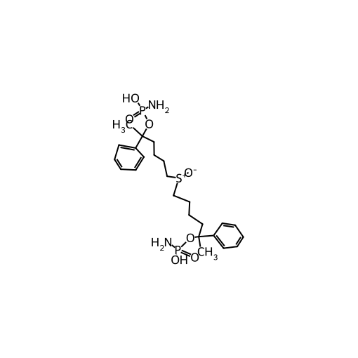 CC(CCCC[S+]([O-])CCCCC(C)(OP(N)(=O)O)c1ccccc1)(OP(N)(=O)O)c1ccccc1